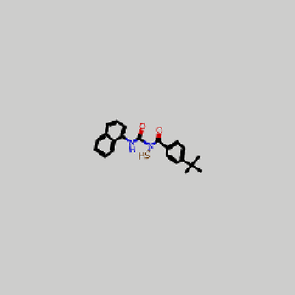 CC(C)(C)c1ccc(C(=O)N(S)C(=O)Nc2cccc3ccccc23)cc1